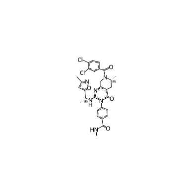 CNC(=O)c1ccc(-n2c(N[C@H](C)c3cc(C)no3)nc3c(c2=O)C[C@@H](C)N(C(=O)c2ccc(Cl)c(Cl)c2)C3)cc1